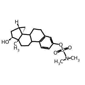 CN(C)S(=O)(=O)Oc1ccc2c(c1)CCC1C2CC[C@]2(C)[C@@H](O)C[C@@H]3C[C@@]132